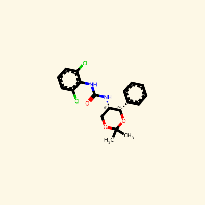 CC1(C)OC[C@H](NC(=O)Nc2c(Cl)cccc2Cl)[C@H](c2ccccc2)O1